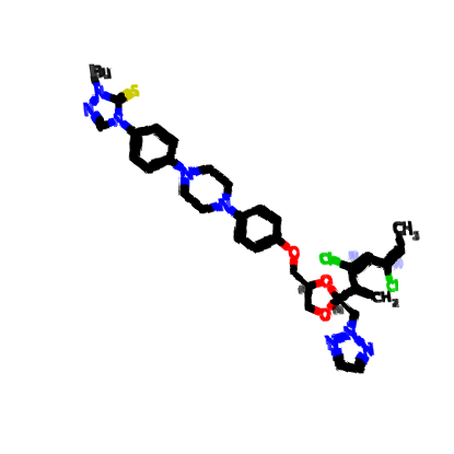 C=C(/C(Cl)=C\C(Cl)=C/C)[C@]1(Cn2nccn2)OC[C@@H](COc2ccc(N3CCN(c4ccc(-n5cnn(C(C)CC)c5=S)cc4)CC3)cc2)O1